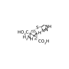 N[C@@]1(C(=O)O)C[C@H](Sc2c[nH]nn2)[C@H]2[C@H](C(=O)O)[C@H]21